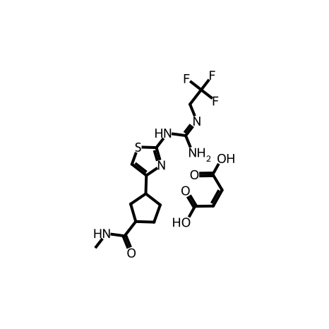 CNC(=O)C1CCC(c2csc(N/C(N)=N\CC(F)(F)F)n2)C1.O=C(O)/C=C\C(=O)O